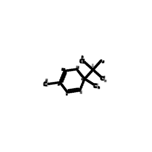 CC(Cl)(Cl)C1(Cl)C=CC(Cl)=CC1